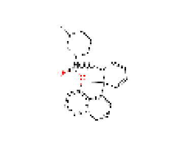 CC1CCCC(C(=O)Oc2cccc3cccc(C4(C)C=CC=CC4C(=O)O)c23)C1